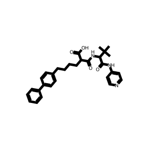 CC(C)(C)C(NC(=O)C(CCCCc1ccc(-c2ccccc2)cc1)C(=O)O)C(=O)Nc1ccncc1